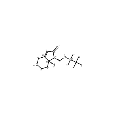 CC(C)(C)[Si](C)(C)OC[C@@H]1C(=O)C=C2COCC[C@H]21